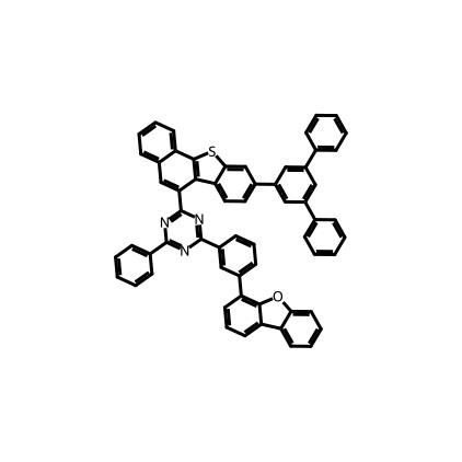 c1ccc(-c2cc(-c3ccccc3)cc(-c3ccc4c(c3)sc3c5ccccc5cc(-c5nc(-c6ccccc6)nc(-c6cccc(-c7cccc8c7oc7ccccc78)c6)n5)c43)c2)cc1